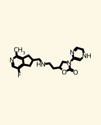 Cc1ncc(F)c2c1CC(CNCCC1CN(C3=CNCC=N3)C(=O)O1)C2